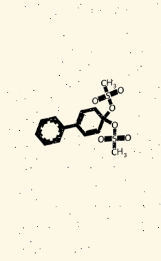 CS(=O)(=O)OC1(OS(C)(=O)=O)C=CC(c2ccccc2)=CC1